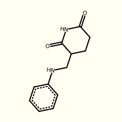 O=C1CCC(CNc2ccccc2)C(=O)N1